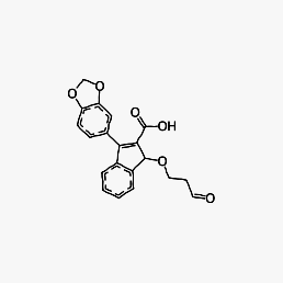 O=CCCOC1C(C(=O)O)=C(c2ccc3c(c2)OCO3)c2ccccc21